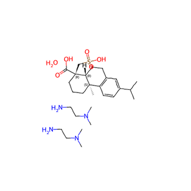 CC(C)c1ccc2c(c1)CC[C@H]1[C@@](CS(=O)(=O)O)(C(=O)O)CCC[C@]21C.CN(C)CCN.CN(C)CCN.O